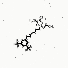 CCO[Si](CCCCCCc1cc(C(F)(F)F)cc(C(F)(F)F)c1)(OCC)OCC